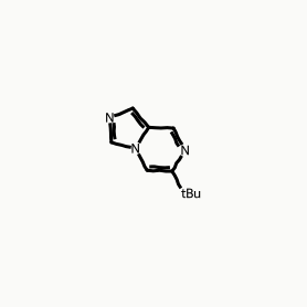 CC(C)(C)c1cn2cncc2cn1